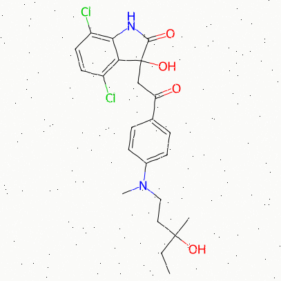 CCC(C)(O)CCN(C)c1ccc(C(=O)CC2(O)C(=O)Nc3c(Cl)ccc(Cl)c32)cc1